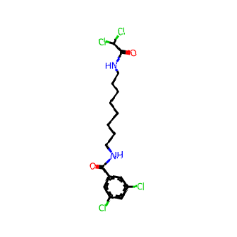 O=C(NCCCCCCCCNC(=O)C(Cl)Cl)c1cc(Cl)cc(Cl)c1